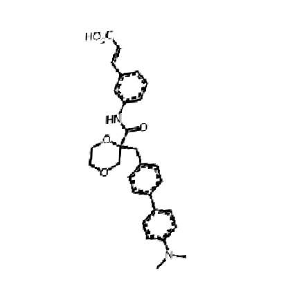 CN(C)c1ccc(-c2ccc(CC3(C(=O)Nc4cccc(/C=C/C(=O)O)c4)COCCO3)cc2)cc1